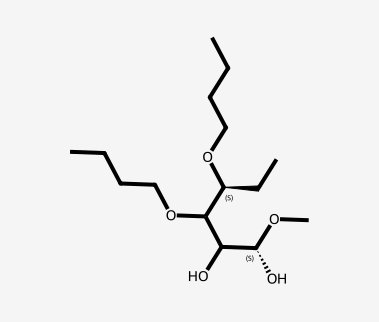 CCCCOC(C(O)[C@@H](O)OC)[C@H](CC)OCCCC